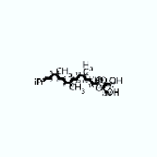 CC(C)CCCC(C)CCCC(C)CCCC(C)CCCC(=O)O[C@H](CO)[C@@H](O)CO